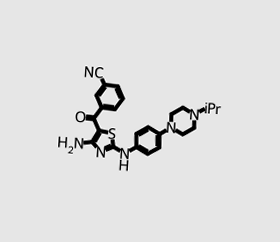 CC(C)N1CCN(c2ccc(Nc3nc(N)c(C(=O)c4cccc(C#N)c4)s3)cc2)CC1